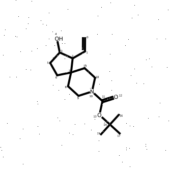 C=CC1C(O)CCC12CCN(C(=O)OC(C)(C)C)CC2